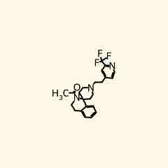 CC(=O)N1CCc2ccccc2C12CCN(CCc1ccnc(C(F)(F)F)c1)CC2